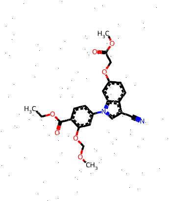 CCOC(=O)c1ccc(-n2cc(C#N)c3ccc(OCC(=O)OC)cc32)cc1OCOC